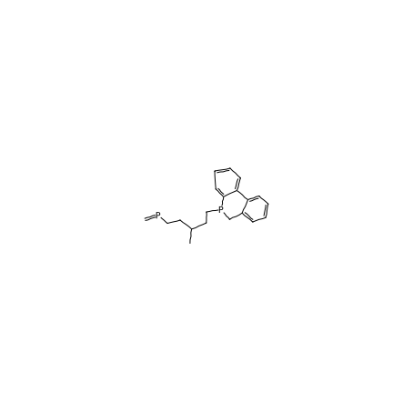 C=PCCC(C)CCP1Cc2ccccc2-c2ccccc21